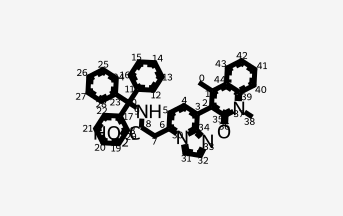 Cc1c(-c2ccc(CC(NC(c3ccccc3)(c3ccccc3)c3ccccc3)C(=O)O)n3ccnc23)c(=O)n(C)c2ccccc12